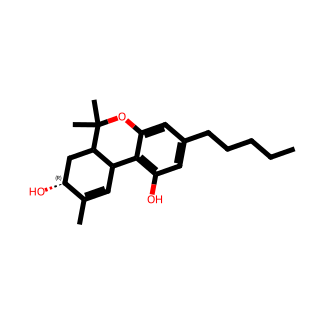 CCCCCc1cc(O)c2c(c1)OC(C)(C)C1C[C@@H](O)C(C)=CC21